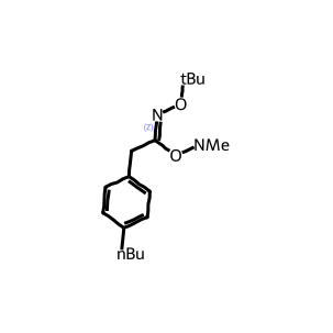 CCCCc1ccc(C/C(=N/OC(C)(C)C)ONC)cc1